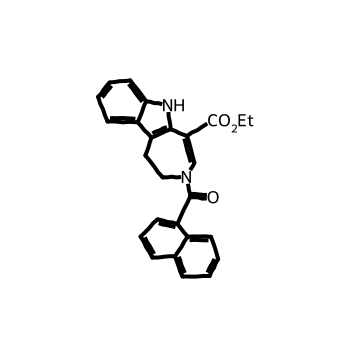 CCOC(=O)C1=CN(C(=O)c2cccc3ccccc23)CCc2c1[nH]c1ccccc21